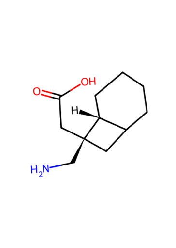 NC[C@]1(CC(=O)O)CC2CCCC[C@H]21